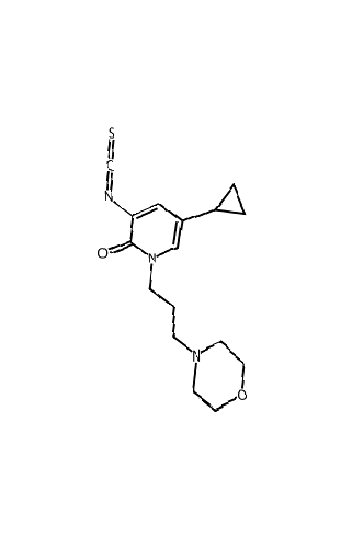 O=c1c(N=C=S)cc(C2CC2)cn1CCCN1CCOCC1